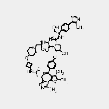 Cc1ncsc1-c1ccc([C@H](CO)NC(=O)[C@@H]2C[C@@H](O)CN2C(=O)[C@@H](NC(=O)CN2CCC(O[C@H]3C[C@H](NC(=O)C[C@@H]4N=C(c5ccc(Cl)cc5)c5c(sc(C)c5C)-n5c(C)nnc54)C3)CC2)C(C)(C)C)cc1